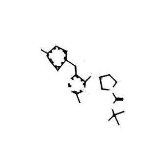 Cc1nnc([C@@H](C)c2ccc(F)cc2)c(N[C@@H]2CCN(C(=O)OC(C)(C)C)C2)n1